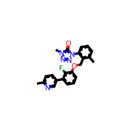 Cc1ccc(-c2cccc(OCc3c(C)cccc3-n3nnn(C)c3=O)c2F)cn1